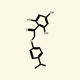 CC(C)c1ccc(OCC(=O)c2c(O)cc(O)cc2O)cc1